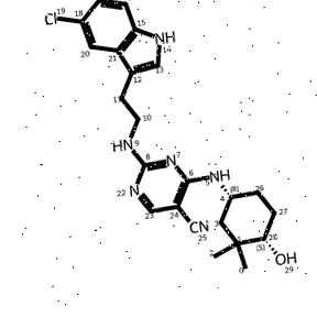 CC1(C)C[C@H](Nc2nc(NCCc3c[nH]c4ccc(Cl)cc34)ncc2C#N)CC[C@@H]1O